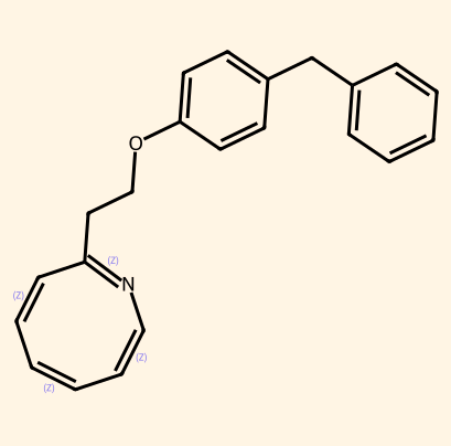 C1=C\C=C/C(CCOc2ccc(Cc3ccccc3)cc2)=N\C=C/1